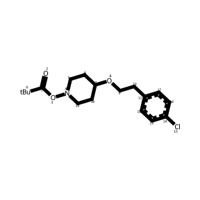 CC(C)(C)C(=O)ON1CCC(OCCc2ccc(Cl)cc2)CC1